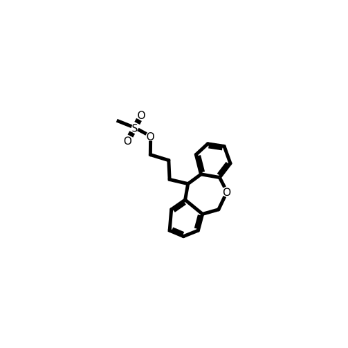 CS(=O)(=O)OCCCC1c2ccccc2COc2ccccc21